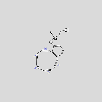 C[C@@H](CCCl)Oc1cccc2c1\C=C/C=C\C=C/C=C\C=C/2